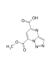 COC(=O)c1cc(C(=O)O)nc2cnnn12